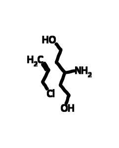 C=CCCl.NC(CCO)CCO